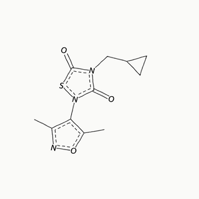 Cc1noc(C)c1-n1sc(=O)n(CC2CC2)c1=O